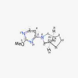 COc1nccc(N2C[C@H]3CCC[C@H]3C2)n1